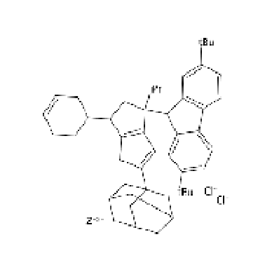 CC(C)C1(C2c3cc(C(C)(C)C)ccc3-c3ccc(C(C)(C)C)cc32)CC(C2CC=CCC2)C2=C1C=C(C13CC4CC(CC(C4)C1)C3)C2.[Cl-].[Cl-].[Zr+2]